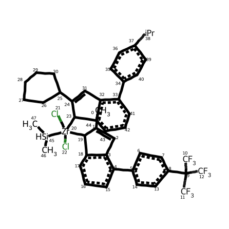 CC1=Cc2c(-c3ccc(C(C(F)(F)F)(C(F)(F)F)C(F)(F)F)cc3)cccc2[CH]1[Zr]([Cl])([Cl])([CH]1C(C2CCCCC2)=Cc2c(-c3ccc(C(C)C)cc3)cccc21)[SiH](C)C